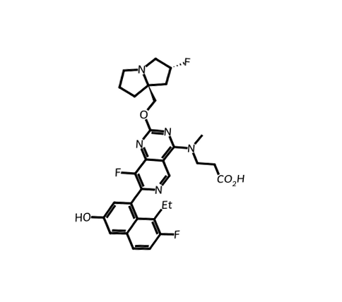 CCc1c(F)ccc2cc(O)cc(-c3ncc4c(N(C)CCC(=O)O)nc(OC[C@@]56CCCN5C[C@H](F)C6)nc4c3F)c12